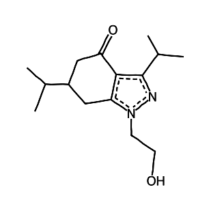 CC(C)c1nn(CCO)c2c1C(=O)CC(C(C)C)C2